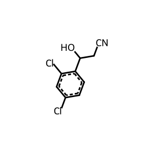 N#CCC(O)c1ccc(Cl)cc1Cl